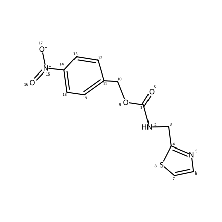 O=C(NCc1n[c]cs1)OCc1ccc([N+](=O)[O-])cc1